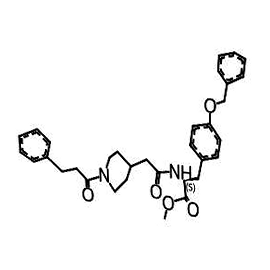 COC(=O)[C@H](Cc1ccc(OCc2ccccc2)cc1)NC(=O)CC1CCN(C(=O)CCc2ccccc2)CC1